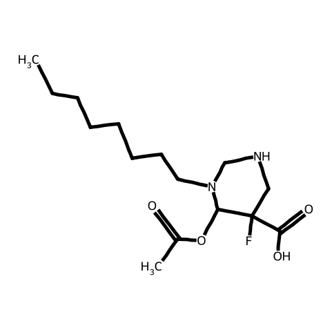 CCCCCCCCN1CNCC(F)(C(=O)O)C1OC(C)=O